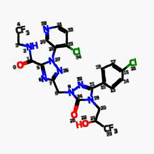 O=C(NCC(F)(F)F)c1nc(Cn2nc(-c3ccc(Cl)cc3)n(CC(O)C(F)(F)F)c2=O)nn1-c1cnccc1Cl